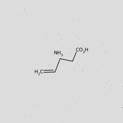 C=CCCC(=O)O.N